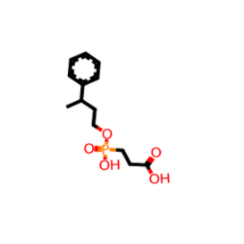 CC(CCOP(=O)(O)CCC(=O)O)c1ccccc1